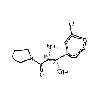 N[C@@H](C(=O)N1CCCC1)[C@@H](O)c1ccnc(Cl)c1